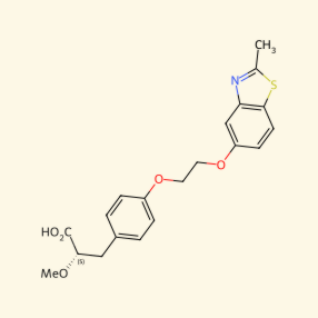 CO[C@@H](Cc1ccc(OCCOc2ccc3sc(C)nc3c2)cc1)C(=O)O